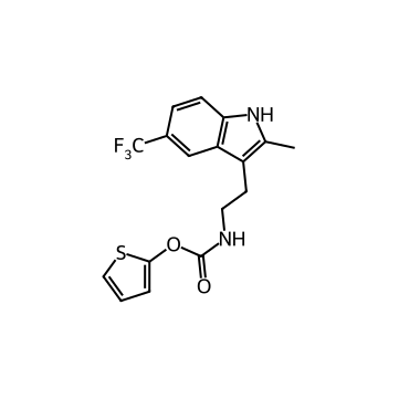 Cc1[nH]c2ccc(C(F)(F)F)cc2c1CCNC(=O)Oc1cccs1